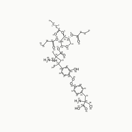 CCCC(=O)O[C@H]1[C@H](OC(=O)CCC)COC(OC(=O)C(C)(CC(F)c2ccc(OOc3ccc(CC(N)(CCl)C(=O)O)cc3)c(O)c2)NN)[C@@H]1OC(=O)CCC